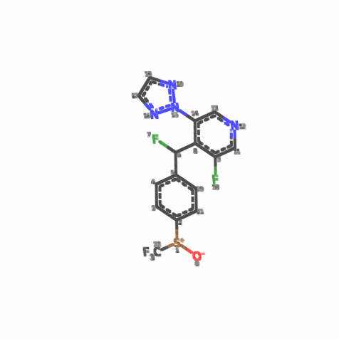 [O-][S+](c1ccc(C(F)c2c(F)cncc2-n2nccn2)cc1)C(F)(F)F